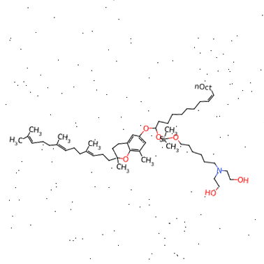 CCCCCCCC/C=C\CCCCCCCC(Oc1cc(C)c2c(c1)CCC(C)(CC/C=C(\C)CC/C=C(\C)CCC=C(C)C)O2)O[Si](C)(C)OCCCCCCN(CCO)CCO